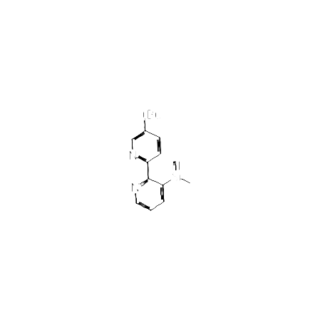 C[SiH](C)c1cccnc1-c1ccc(C(C)(C)C)cn1